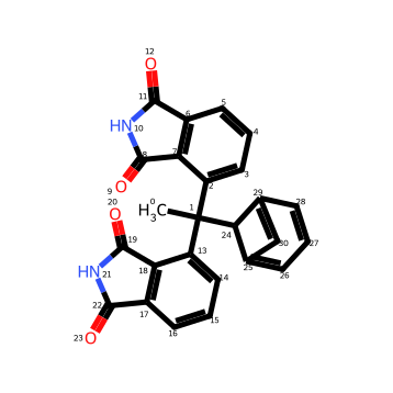 CC(c1cccc2c1C(=O)NC2=O)(c1cccc2c1C(=O)NC2=O)C1C2=CC=CC1=C2